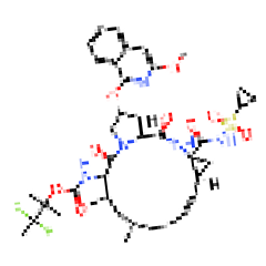 COc1cc2ccccc2c(O[C@@H]2C[C@H]3C(=O)N[C@]4(C(=O)NS(=O)(=O)C5CC5)C[C@H]4/C=C\CC[C@@H](C)C[C@@H](C)[C@H](NC(=O)OC(C)(C)C(C)(F)F)C(=O)N3C2)n1